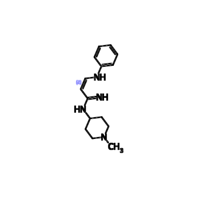 CN1CCC(NC(=N)/C=C\Nc2ccccc2)CC1